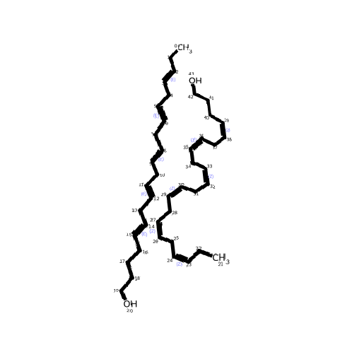 CC/C=C/C/C=C/C/C=C/C/C=C/C/C=C/CCCCO.CC/C=C\C/C=C\C/C=C\C/C=C\C/C=C\C/C=C\CCCO